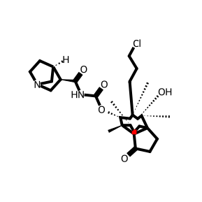 C[C@@H]1CCC23CCC(=O)C2[C@]1(C)[C@H](OC(=O)NC(=O)[C@H]1CN2CC[C@@H]1C2)C[C@@](C)(CCCCl)[C@@H](O)[C@@H]3C